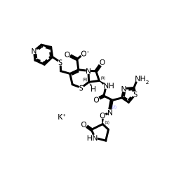 Nc1nc(/C(=N/O[C@H]2CCNC2=O)C(=O)N[C@@H]2C(=O)N3C(C(=O)[O-])=C(CSc4ccncc4)CS[C@H]23)cs1.[K+]